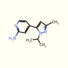 Cc1cc(-c2ccnc(N)c2)n(C(C)C)n1